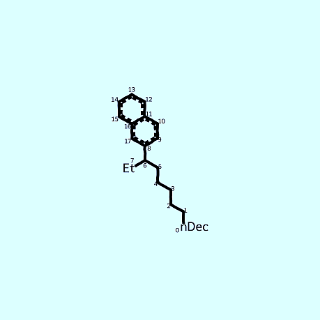 CCCCCCCCCCCCCCCC(CC)c1ccc2ccccc2c1